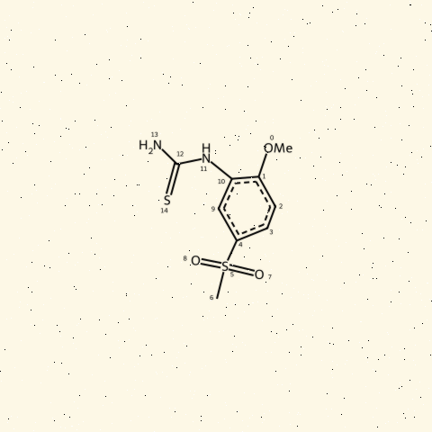 COc1ccc(S(C)(=O)=O)cc1NC(N)=S